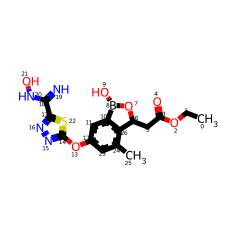 CCOC(=O)CC1OB(O)c2cc(Oc3nnc(C(=N)NO)s3)cc(C)c21